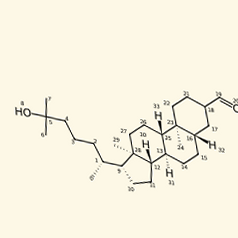 C[C@H](CCCC(C)(C)O)[C@H]1CC[C@H]2[C@@H]3CC[C@H]4CC(C=O)CC[C@]4(C)[C@H]3CC[C@]12C